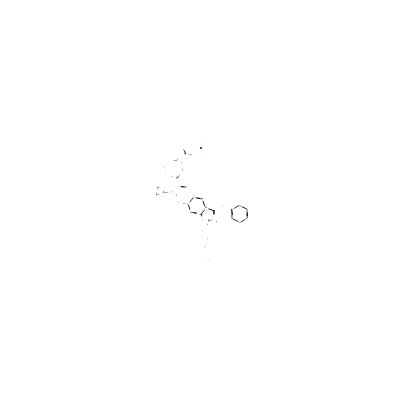 COCCCn1nc(Cc2ccccc2)c2ccc(CN(C(=O)[C@H]3CN(C(=O)OC(C)(C)C)CCO3)C3CC3)cc21